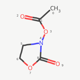 CC(=O)ON1CCOC1=O